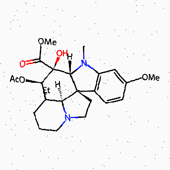 CC[C@]12CCCN3CC[C@@]4(c5ccc(OC)cc5N(C)[C@H]4[C@@](O)(C(=O)OC)[C@@H]1OC(C)=O)[C@@H]32